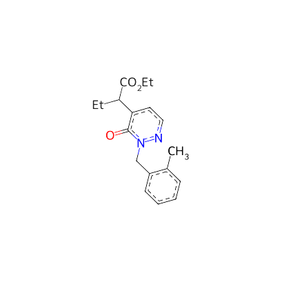 CCOC(=O)C(CC)c1ccnn(Cc2ccccc2C)c1=O